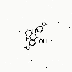 COc1ccc([C@H]2[C@H]3CCCC[C@H]3c3cc(OC)ccc3[C@@H]2CO)cc1